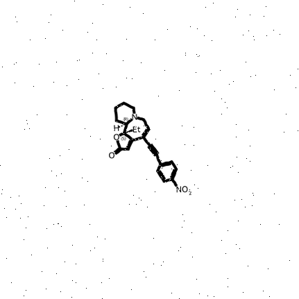 CC[C@]12OC(=O)C=C1C(C#Cc1ccc([N+](=O)[O-])cc1)=CCN1CCCC[C@@H]12